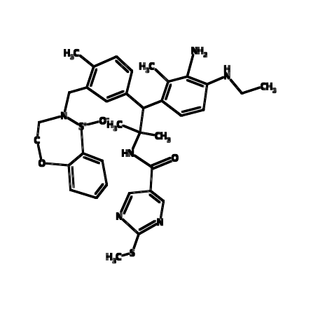 CCNc1ccc(C(c2ccc(C)c(CN3CCOc4ccccc4[S+]3[O-])c2)C(C)(C)NC(=O)c2cnc(SC)nc2)c(C)c1N